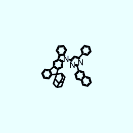 c1ccc(-c2cc(-n3c4ccccc4c4cc5c(cc43)C3(c4ccccc4-5)C4CC5CC(C4)CC3C5)nc(-c3ccc4ccccc4c3)n2)cc1